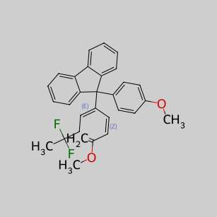 C=C(/C=C\C(=C/CC(C)(F)F)C1(c2ccc(OC)cc2)c2ccccc2-c2ccccc21)OC